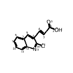 O=C(O)C=Cc1cc2ccccc2nc1Cl